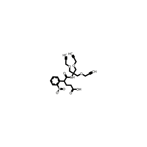 C#CCOCC(COCC#C)(COCC#C)NC(=O)C(CCC(=O)O)c1ccccc1[N+](=O)[O-]